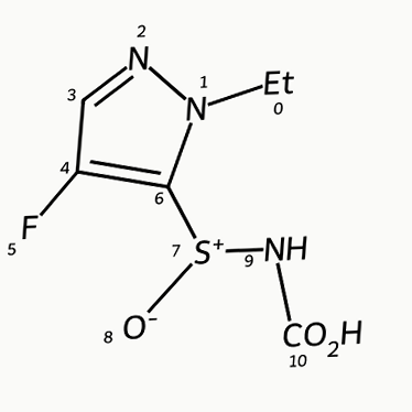 CCn1ncc(F)c1[S+]([O-])NC(=O)O